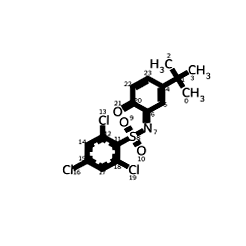 CC(C)(C)C1=CC(=NS(=O)(=O)c2c(Cl)cc(Cl)cc2Cl)C(=O)C=C1